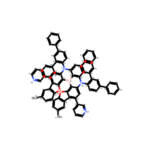 CC(C)(C)c1ccc2oc3c4c(cc(-c5cccnc5)c3c2c1)N(c1ccc(-c2ccccc2)cc1-c1ccccc1)c1cc(-c2ccccc2)cc2c1B4c1c(cc(-c3cccnc3)c3c1oc1ccc(C(C)(C)C)cc13)N2c1ccc(-c2ccccc2)cc1-c1ccccc1